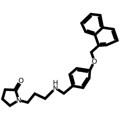 O=C1CCCN1CCCNCc1ccc(OCc2cccc3ccccc23)cc1